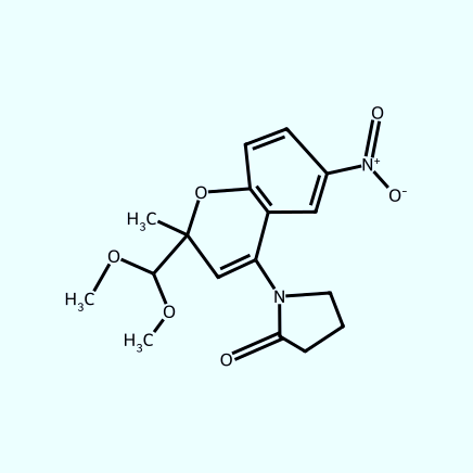 COC(OC)C1(C)C=C(N2CCCC2=O)c2cc([N+](=O)[O-])ccc2O1